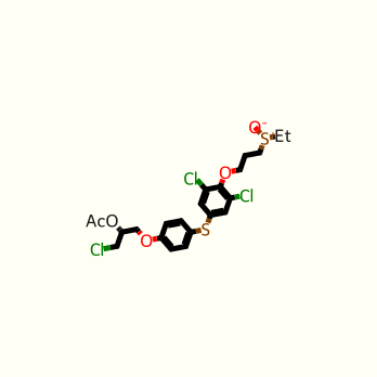 CC[S+]([O-])CCCOc1c(Cl)cc(Sc2ccc(OCC(CCl)OC(C)=O)cc2)cc1Cl